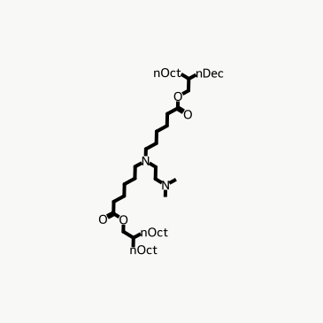 CCCCCCCCCCC(CCCCCCCC)COC(=O)CCCCCN(CCCCCC(=O)OCC(CCCCCCCC)CCCCCCCC)CCN(C)C